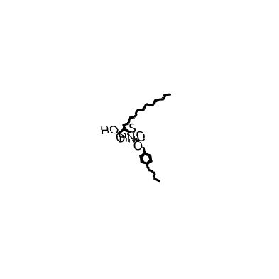 CCCCCCCCCCc1cc(C(=O)O)c(NC(=O)OCc2ccc(CCCC)cc2)s1